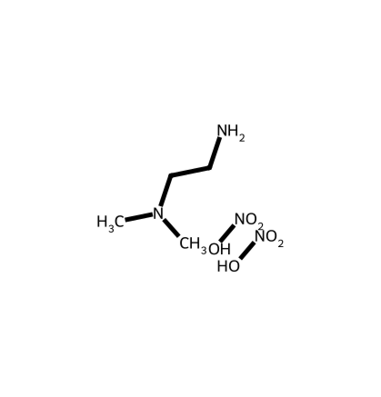 CN(C)CCN.O=[N+]([O-])O.O=[N+]([O-])O